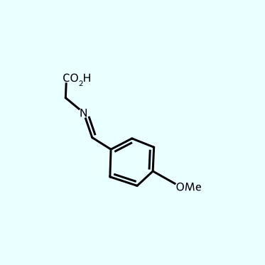 COc1ccc(/C=N/CC(=O)O)cc1